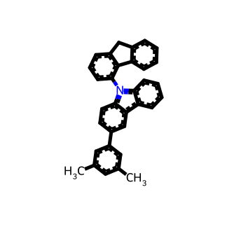 Cc1cc(C)cc(-c2ccc3c(c2)c2ccccc2n3-c2cccc3c2-c2ccccc2C3)c1